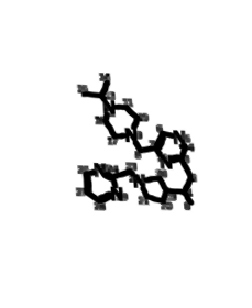 CC(Cc1cncc(CN2CCN(C(C)C)CC2)n1)C1CCN(Cc2ncccn2)C1